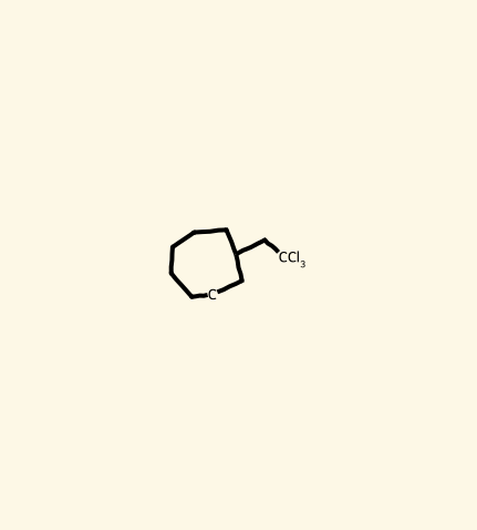 ClC(Cl)(Cl)CC1CCCCCCC1